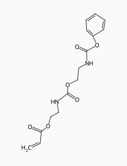 C=CC(=O)OCCNC(=O)OCCNC(=O)Oc1ccccc1